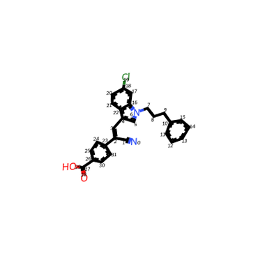 N#CC(=Cc1cn(CCCc2ccccc2)c2cc(Cl)ccc12)c1ccc(C(=O)O)cc1